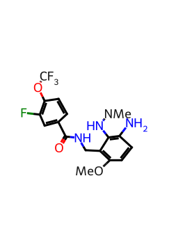 CNNc1c(N)ccc(OC)c1CNC(=O)c1ccc(OC(F)(F)F)c(F)c1